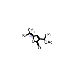 CCCC(OC(C)=O)C1=C/C(=C(\C)Br)OC1=O